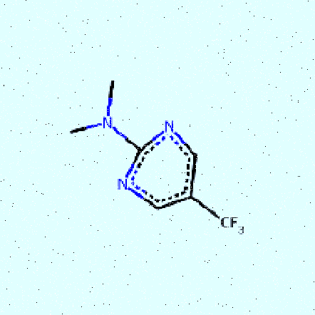 CN(C)c1ncc(C(F)(F)F)cn1